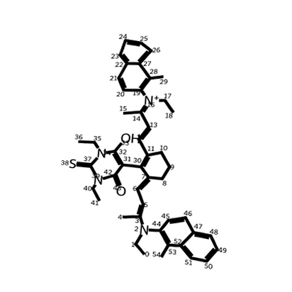 CCN(/C(C)=C/C=C1\CCCC(/C=C/C(C)=[N+](\CC)c2ccc3ccccc3c2C)=C1c1c(O)n(CC)c(=S)n(CC)c1=O)c1ccc2ccccc2c1C